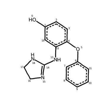 Oc1ccc(Oc2ccccc2)c(NC2=NCCN2)c1